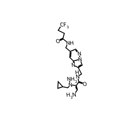 N/C=C(/C(=O)NCc1cn2ncc(CNC(=O)CCC(F)(F)F)cc2n1)N(N)CC1CC1